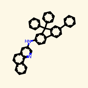 c1ccc(-c2ccc3c(c2)C(c2ccccc2)(c2ccccc2)c2cc(Nc4cnc5c(ccc6ccccc65)c4)ccc2-3)cc1